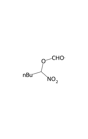 CCCCC(O[C]=O)[N+](=O)[O-]